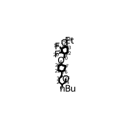 CCCCC1CCC(c2ccc(OCc3ccc(OCC)c(F)c3F)cc2)OC1